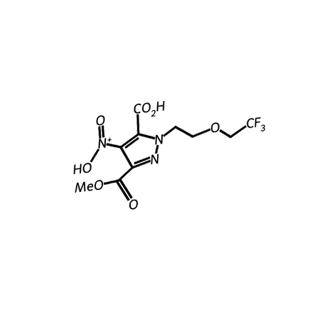 COC(=O)c1nn(CCOCC(F)(F)F)c(C(=O)O)c1[N+](=O)O